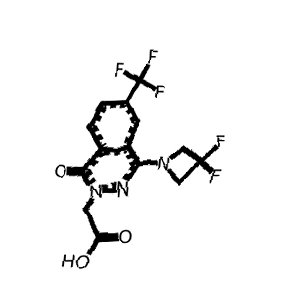 O=C(O)Cn1nc(N2CC(F)(F)C2)c2cc(C(F)(F)F)ccc2c1=O